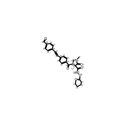 CNC(=O)[C@@](C)(C(=O)NOC1CCCCO1)N(C)C(=O)c1ccc(C#Cc2ccc(C=O)cc2)cc1